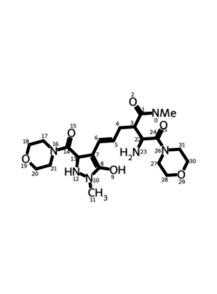 CNC(=O)C(CC=CC1=C(O)N(C)NC1C(=O)N1CCOCC1)C(N)C(=O)N1CCOCC1